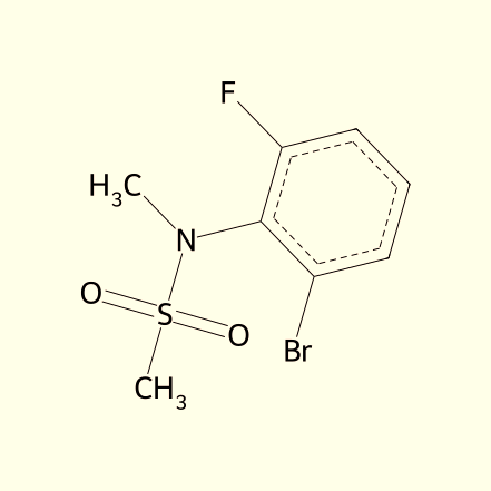 CN(c1c(F)cccc1Br)S(C)(=O)=O